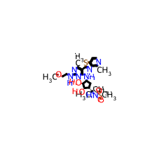 COCCNc1nc(C)c(-c2nc3c(C)nccc3s2)c(NC2C[C@H](C(C)(C)NS(C)(=O)=O)[C@@H](O)[C@H]2O)n1